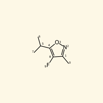 Cc1noc(C(C)C)c1F